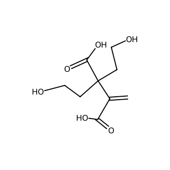 C=C(C(=O)O)C(CCO)(CCO)C(=O)O